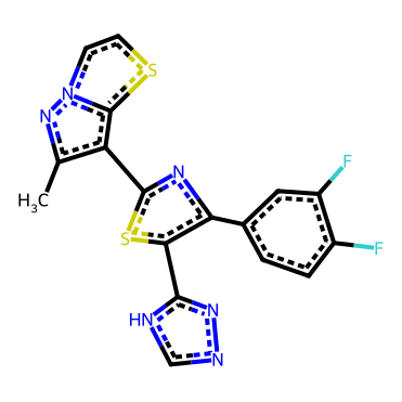 Cc1nn2ccsc2c1-c1nc(-c2ccc(F)c(F)c2)c(-c2nnc[nH]2)s1